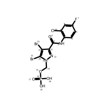 O=C(Nc1ccc(F)cc1Cl)c1nn(COP(=O)(O)O)c(Br)c1Br